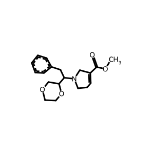 COC(=O)C1=CCCN(C(Cc2ccccc2)C2COCCO2)C1